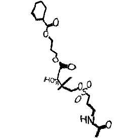 CC(=O)NCCCS(=O)(=O)OCC(C)(C)[C@@H](O)C(=O)OCCCOC(=O)C1CCCCC1